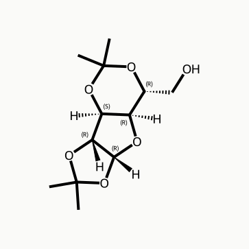 CC1(C)O[C@H]2O[C@H]3[C@H](OC(C)(C)O[C@@H]3CO)[C@H]2O1